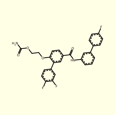 NC(=O)OCCOc1ccc(C(=O)Nc2cccc(-c3ccc(F)cc3)c2)cc1-c1ccc(F)c(F)c1